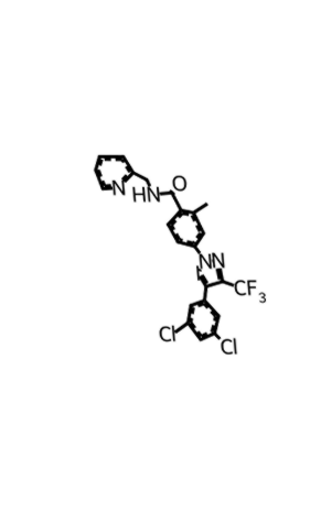 Cc1cc(N2N=C(C(F)(F)F)C(c3cc(Cl)cc(Cl)c3)=I2)ccc1C(=O)NCc1ccccn1